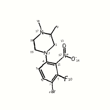 CC1CN(c2ccc(Br)c(F)c2[N+](=O)[O-])CCN1C